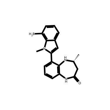 Bc1cccc2cc(-c3cccc4c3N[C@H](C)CC(=O)N4)n(C)c12